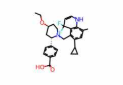 CCO[C@H]1CCN(Cc2c(C3CC3)cc(C)c3c2C(F)(F)C=CN3)[C@H](c2ccc(C(=O)O)cc2)C1